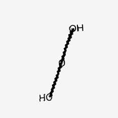 OCCCCCCCCCCCCCCCCCCOCCCCCCCCCCCCCCCCCCO